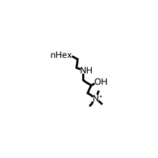 CCCCCCCCNCC(O)C[N+](C)(C)C